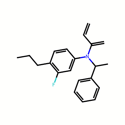 C=CC(=C)N(c1ccc(CCC)c(F)c1)C(C)c1ccccc1